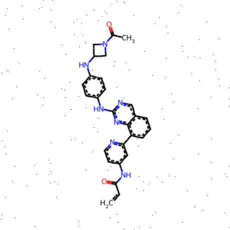 C=CC(=O)Nc1ccnc(-c2cccc3cnc(Nc4ccc(NC5CN(C(C)=O)C5)cc4)nc23)c1